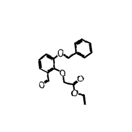 CCOC(=O)COc1c(C=O)cccc1OCc1ccccc1